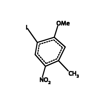 COc1cc(C)c([N+](=O)[O-])cc1I